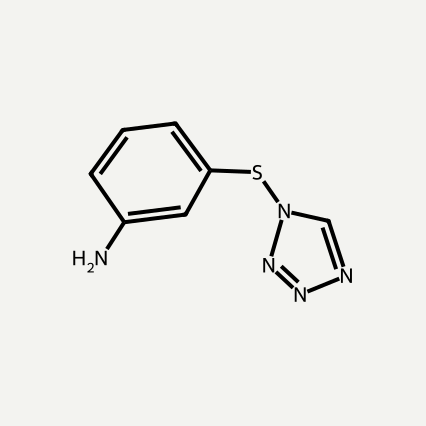 Nc1cccc(Sn2cnnn2)c1